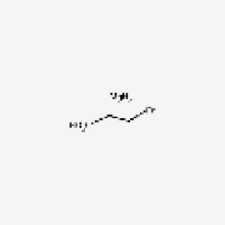 CC(C)CCC(=O)O.[MgH2]